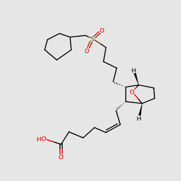 O=C(O)CCC/C=C\C[C@@H]1[C@H](CCCCS(=O)(=O)CC2CCCCC2)[C@@H]2CC[C@H]1O2